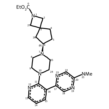 CCOC(=O)N1CC2(CC[C@@H](N3CCN(c4ncccc4-c4cnc(NC)cn4)CC3)C2)C1